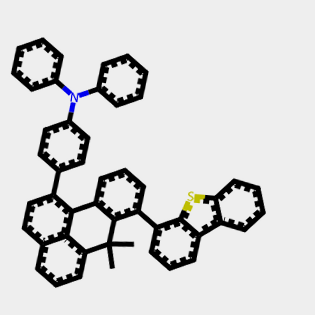 CC1(C)c2c(-c3cccc4c3sc3ccccc34)cccc2-c2c(-c3ccc(N(c4ccccc4)c4ccccc4)cc3)ccc3cccc1c23